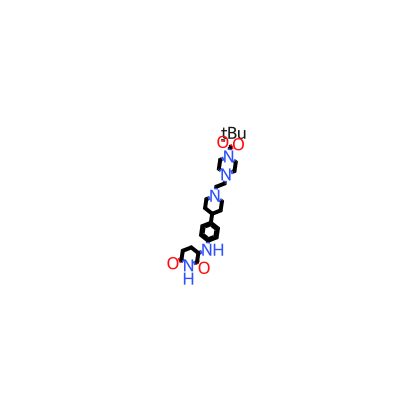 CC(C)(C)OC(=O)N1CCN(CCN2CCC(c3ccc(NC4CCC(=O)NC4=O)cc3)CC2)CC1